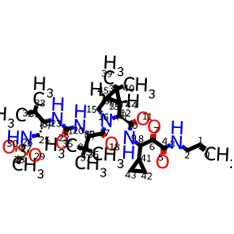 C=CCNC(=O)C(=O)C(NC(=O)[C@@H]1[C@@H]2[C@H](CN1C(=O)[C@@H](NC(=O)N[C@H](CNS(C)(=O)=O)C(C)C)C(C)(C)C)C2(C)C)C1CC1